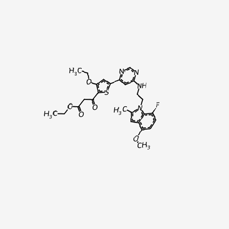 CCOC(=O)CC(=O)c1sc(-c2cc(NCCn3c(C)cc4c(OC)ccc(F)c43)ncn2)cc1OCC